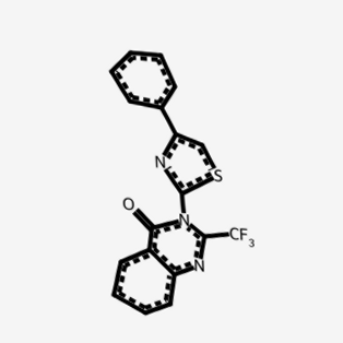 O=c1c2ccccc2nc(C(F)(F)F)n1-c1nc(-c2ccccc2)cs1